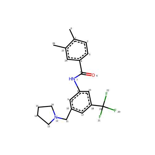 Cc1ccc(C(=O)Nc2cc(CN3CCCC3)cc(C(F)(F)F)c2)cc1C